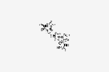 CC(C)NC(=O)c1cc(CN2CCC(n3nccc3C(=O)NC(C)S)CC2)nn1C1CCC1